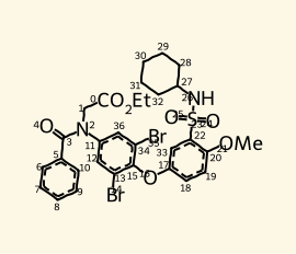 CCOC(=O)CN(C(=O)c1ccccc1)c1cc(Br)c(Oc2ccc(OC)c(S(=O)(=O)NC3CCCCC3)c2)c(Br)c1